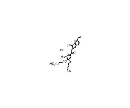 Br.CC(C)(C)c1cc(C(=O)CN2Cc3ccc(CF)nc3C2=N)cc(OCCCC#N)c1OCCCCC(=O)O